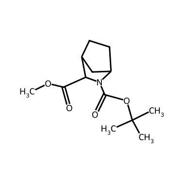 COC(=O)C1C2CCC(C2)N1C(=O)OC(C)(C)C